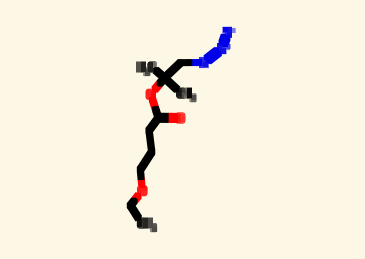 CCOCCCC(=O)OC(C)(C)CN=[N+]=[N-]